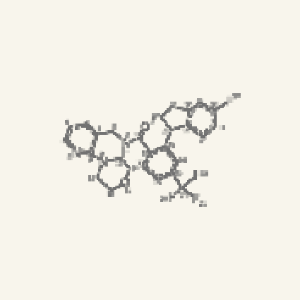 O=C(NCc1cccnc1N1CCOCC1)c1ccc(C(F)(F)F)cc1C1CCc2cc(F)ccc21